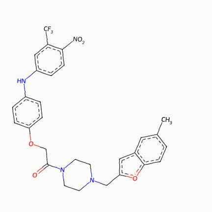 Cc1ccc2oc(CN3CCN(C(=O)COc4ccc(Nc5ccc([N+](=O)[O-])c(C(F)(F)F)c5)cc4)CC3)cc2c1